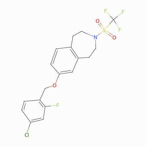 O=S(=O)(N1CCc2ccc(OCc3ccc(Cl)cc3F)cc2CC1)C(F)(F)F